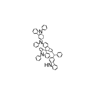 C1=CC2c3ccc(N(C4=Cc5c(n(-c6ccccc6)c6ccccc56)CC4)c4ccccc4)cc3C3(c4ccccc4N(c4ccccc4)c4ccccc43)C2C=C1C(c1ccccc1)c1ccc2[nH]c3ccccc3c2c1